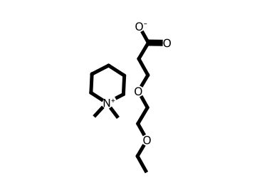 CCOCCOCCC(=O)[O-].C[N+]1(C)CCCCC1